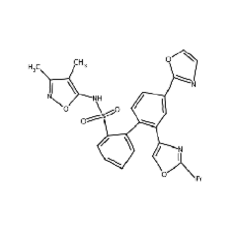 Cc1noc(NS(=O)(=O)c2ccccc2-c2ccc(-c3ncco3)cc2-c2coc(C(C)C)n2)c1C